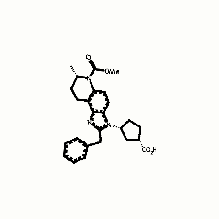 COC(=O)N1c2ccc3c(nc(Cc4ccccc4)n3[C@@H]3CC[C@H](C(=O)O)C3)c2CC[C@@H]1C